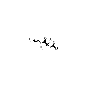 C=CCOC(=O)C(C)(C)OC(=O)[CH]C